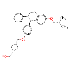 CC(C)COc1ccc2c(c1)CC[C@H](c1ccccc1)[C@@H]2c1ccc(OC[C@H]2C[C@@H](CO)C2)cc1